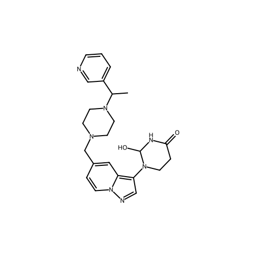 CC(c1cccnc1)N1CCN(Cc2ccn3ncc(N4CCC(=O)NC4O)c3c2)CC1